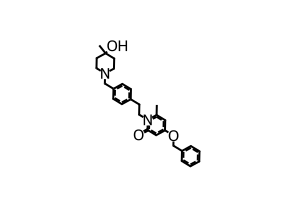 Cc1cc(OCc2ccccc2)cc(=O)n1CCc1ccc(CN2CCC(C)(O)CC2)cc1